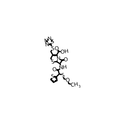 CCOCSC(C(=O)NC1C(=O)N2C(C(=O)O)=C(CSc3nnns3)CSC12)c1cccs1